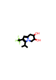 CC(C)c1c(C(F)(F)F)cc2n1CC(O)C(O)C2